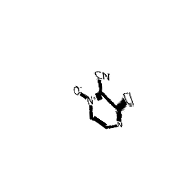 N#Cc1c(Cl)ncc[n+]1[O-]